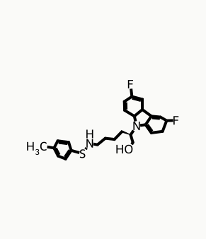 Cc1ccc(SNCCCC[C@H](CO)N2C3=CCC(F)C=C3C3C=C(F)C=CC32)cc1